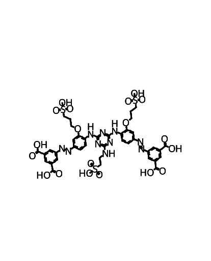 O=C(O)c1cc(N=Nc2ccc(Nc3nc(NCCS(=O)(=O)O)nc(Nc4ccc(N=Nc5cc(C(=O)O)cc(C(=O)O)c5)cc4OCCCS(=O)(=O)O)n3)c(OCCCS(=O)(=O)O)c2)cc(C(=O)O)c1